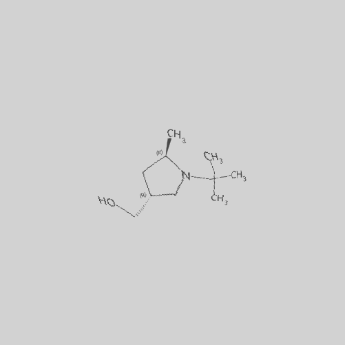 C[C@@H]1C[C@@H](CO)CN1C(C)(C)C